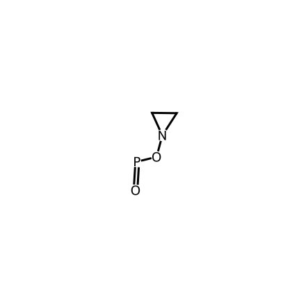 O=PON1CC1